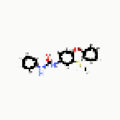 CSc1cc(NC(=O)Nc2ccccc2)ccc1Oc1ccccc1